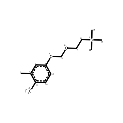 Cc1cc(OCOCC[Si](C)(C)C)ccc1C(F)(F)F